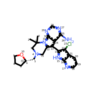 CC1(C)CN(C[C@@H]2CCCO2)Cc2c(-c3[nH]c4ncccc4c3Cl)c3c(N)ncnc3n21